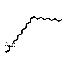 C=CC(=O)OCCCCCCCC/C=C\CCCCCCCC